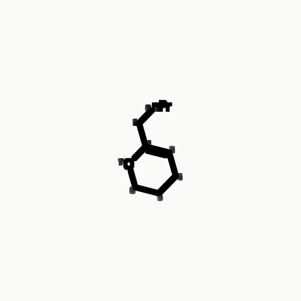 CCCCC1=CCCCO1